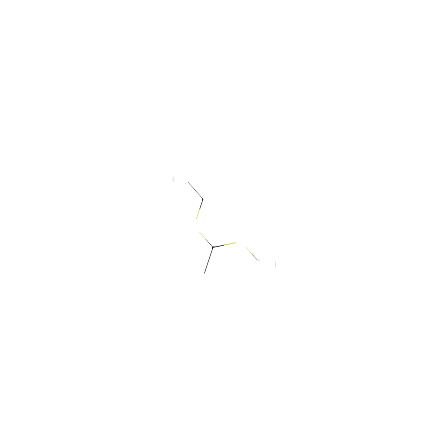 [CH2]C(SCC(C)C)SC(C)CC